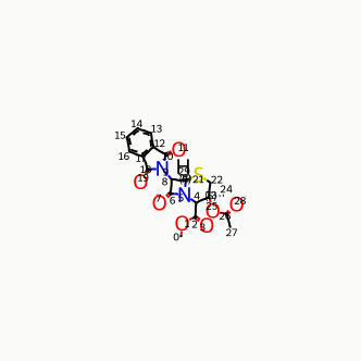 COC(=O)C1N2C(=O)C(N3C(=O)c4ccccc4C3=O)[C@H]2SC[C@@]1(C)OC(C)=O